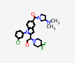 CN(C)C1CCN(C(=O)c2ccc3c(c2)cc(C(C=O)N2CCC(F)(F)CC2)n3-c2cccc(Cl)c2)C1